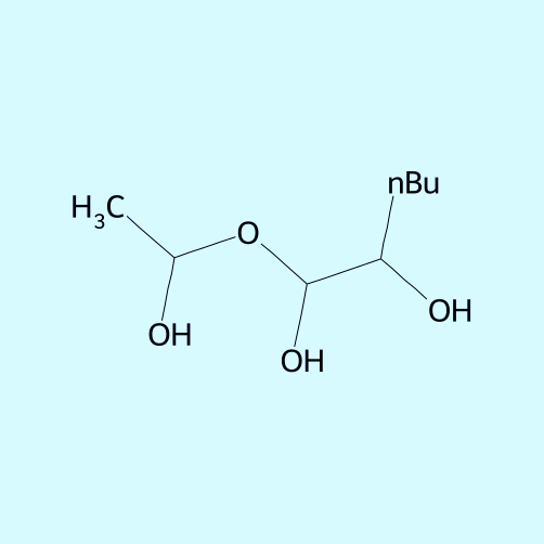 CCCCC(O)C(O)OC(C)O